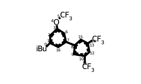 CCC(C)c1cc(OC(F)(F)F)cc(-c2cc(C(F)(F)F)cc(C(F)(F)F)c2)c1